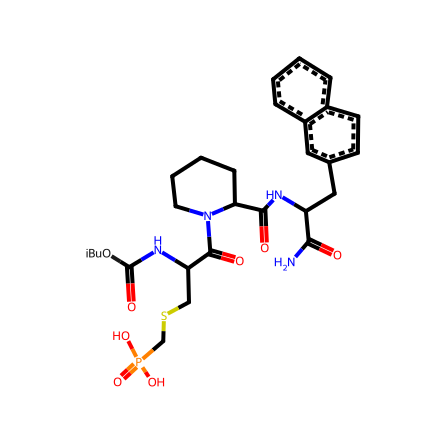 CC(C)COC(=O)NC(CSCP(=O)(O)O)C(=O)N1CCCCC1C(=O)NC(Cc1ccc2ccccc2c1)C(N)=O